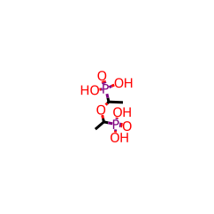 CC(OC(C)P(=O)(O)O)P(=O)(O)O